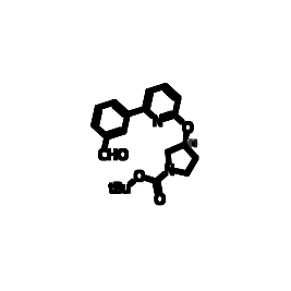 CC(C)(C)OC(=O)N1CC[C@H](Oc2cccc(-c3cccc(C=O)c3)n2)C1